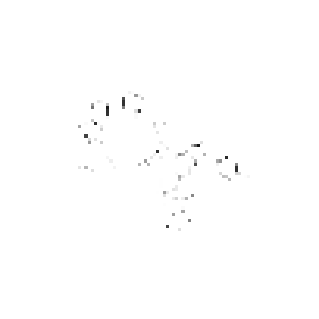 CO[C@H]1CN(C)C(=O)[C@@H]2C[C@@H](CN2c2nc(N3[C@@H]4C[C@H]3[C@@H]3CCC(=O)N3C4)nc3c2cnn3-c2ccc(F)cc2F)Nc2cccc(n2)-c2cc(F)cc3nc(C)n(c23)C1